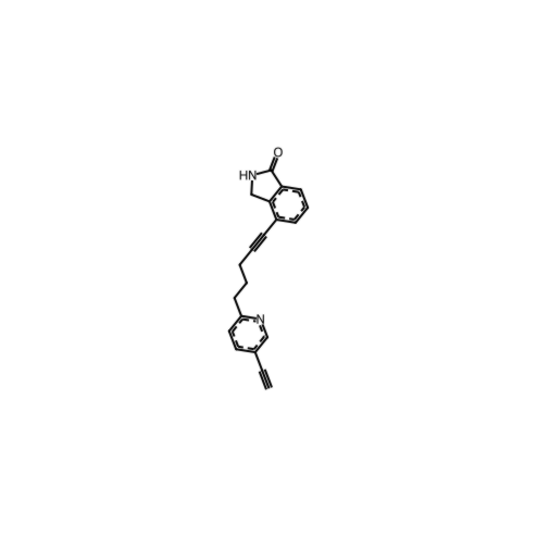 C#Cc1ccc(CCCC#Cc2cccc3c2CNC3=O)nc1